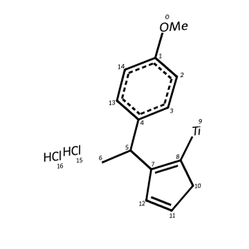 COc1ccc(C(C)C2=[C]([Ti])CC=C2)cc1.Cl.Cl